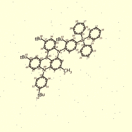 Cc1cc2c3c(c1)N(c1ccc([Si](c4ccccc4)(c4ccccc4)c4ccccc4)cc1C(C)(C)C)c1ccc(C(C)(C)C)cc1B3c1cc(C(C)(C)C)ccc1N2c1ccc(C(C)(C)C)cc1